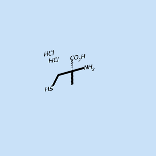 C[C@](N)(CS)C(=O)O.Cl.Cl